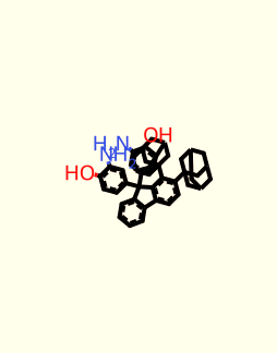 Nc1cc(C2(c3ccc(O)c(N)c3)c3ccccc3-c3ccc(C45CC6CC(CC(C6)C4)C5)c(C45CC6CC(CC(C6)C4)C5)c32)ccc1O